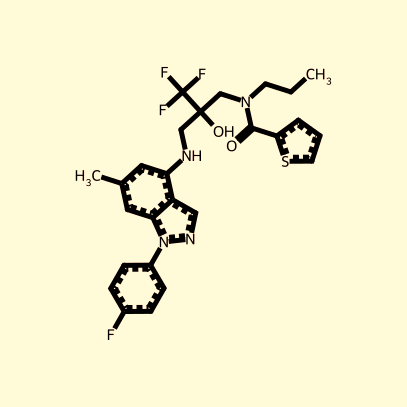 CCCN(CC(O)(CNc1cc(C)cc2c1cnn2-c1ccc(F)cc1)C(F)(F)F)C(=O)c1cccs1